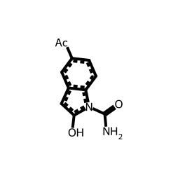 CC(=O)c1ccc2c(c1)cc(O)n2C(N)=O